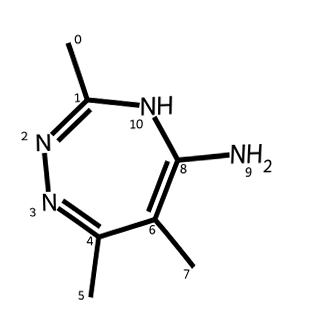 CC1=NN=C(C)C(C)=C(N)N1